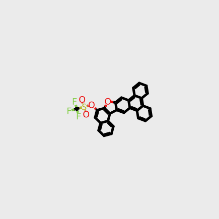 O=S(=O)(Oc1cc2ccccc2c2c1oc1cc3c4ccccc4c4ccccc4c3cc12)C(F)(F)F